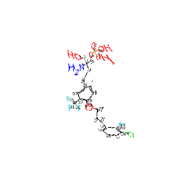 NC(CO)(CCc1ccc(OCCCc2cccc(Cl)c2F)c(C(F)(F)F)c1)COP(=O)(O)O